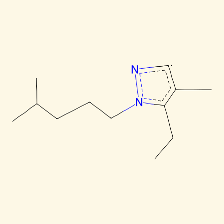 CCc1c(C)[c]nn1CCCC(C)C